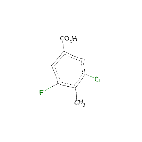 Cc1c(F)cc(C(=O)O)cc1Cl